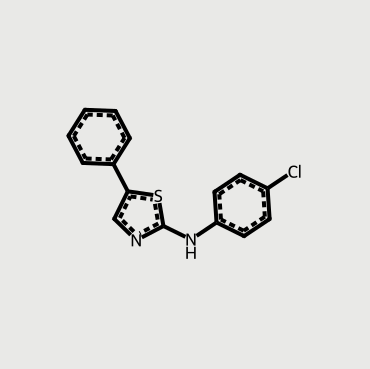 Clc1ccc(Nc2ncc(-c3ccccc3)s2)cc1